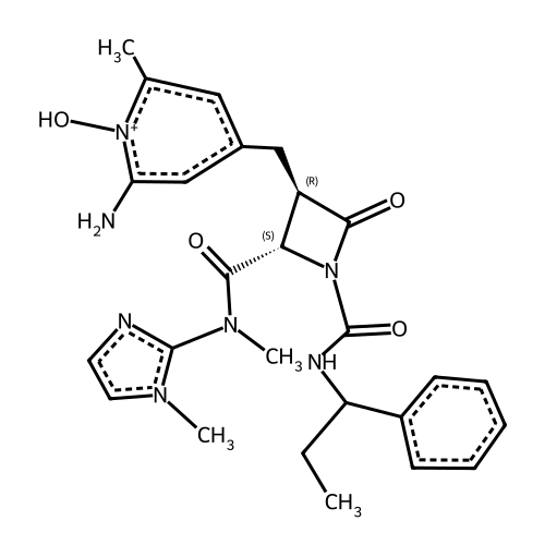 CCC(NC(=O)N1C(=O)[C@H](Cc2cc(C)[n+](O)c(N)c2)[C@H]1C(=O)N(C)c1nccn1C)c1ccccc1